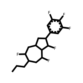 CCCC1CC(F)C2C(CC1F)CC(c1cc(F)c(F)c(F)c1)C2F